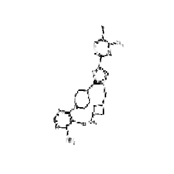 Cc1cc(-c2cn(CC3CN(C)C3)c(C3CCN(c4ncnc(N)c4Cl)CC3)n2)ccc1F